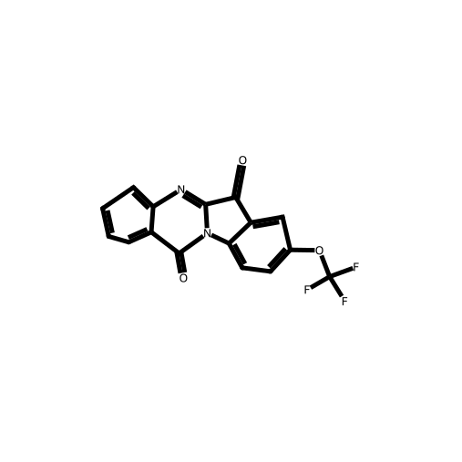 O=C1c2cc(OC(F)(F)F)ccc2-n2c1nc1ccccc1c2=O